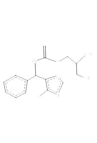 CCC(C)CSC(=O)NC(c1ccccc1)c1scnc1C